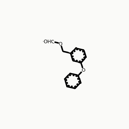 O=[C]OCc1cccc(Oc2ccccc2)c1